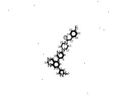 Cn1cc(-c2cc(-c3ccc(N4CCN(C(=O)Cc5ccc(F)cc5)CC4)nc3)c3cncnc3c2)cn1